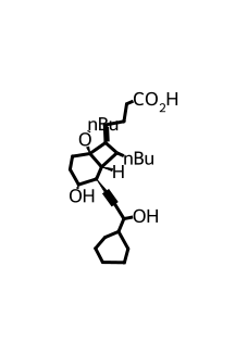 CCCCO[C@]12CC[C@@H](O)[C@H](C#CC(O)C3CCCCC3)[C@H]1C(CCCC)C2=CCCC(=O)O